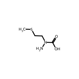 CSCCN(N)C(=O)O